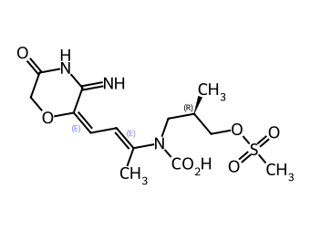 C/C(=C\C=C1\OCC(=O)NC1=N)N(C[C@@H](C)COS(C)(=O)=O)C(=O)O